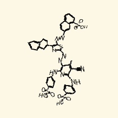 Cc1c(C#N)c(Nc2ccc(S(=O)(=O)O)cc2)nc(Nc2ccc(S(=O)(=O)O)cc2)c1N=Nc1nc(-c2ccc3ccccc3c2)c(N=Nc2ccc3cccc(S(=O)(=O)O)c3c2)s1